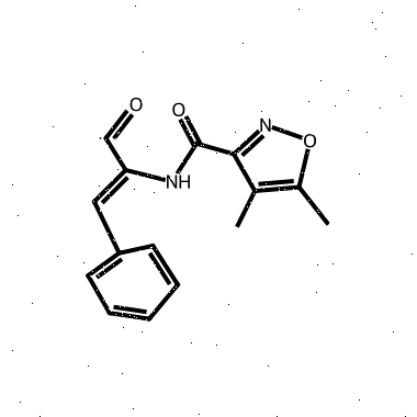 Cc1onc(C(=O)NC([C]=O)=Cc2ccccc2)c1C